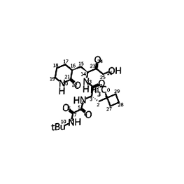 CC1(C[C@H](NC(=O)C(=O)NC(C)(C)C)C(=O)N[C@@H](C[C@@H]2CCCNC2=O)C(=O)CO)CCC1